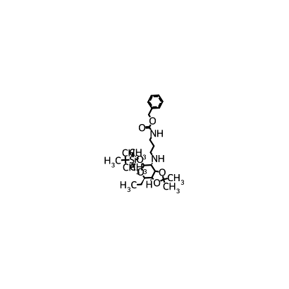 CC[C@H]1OC(O[Si](C)(C)C(C)(C)C)[C@H](NCCCNC(=O)OCc2ccccc2)C2OC(C)(C)O[C@H]21